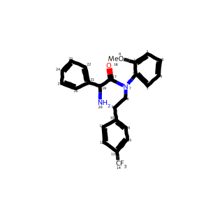 COc1ccccc1N(CCc1ccc(C(F)(F)F)cc1)C(=O)C(N)c1ccccc1